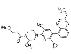 C=Cc1cnc2c(-c3cc(C#N)c(N4CCN(C(=O)CCOC)[C@H](C)C4)nc3C3CC3)cccc2n1